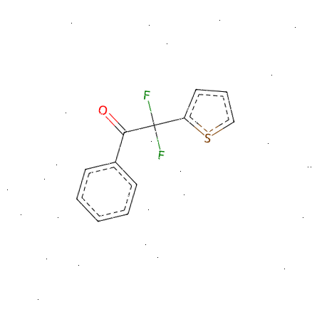 O=C(c1ccccc1)C(F)(F)c1cccs1